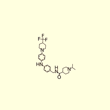 CC(C)N1CCC(C(=O)NCc2ccc(Nc3ccc(N4CCC(C(F)(F)F)CC4)cc3)cc2)CC1